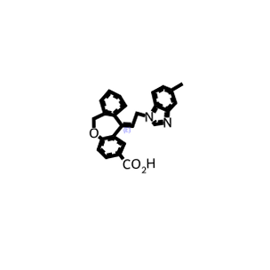 Cc1ccc2c(c1)ncn2C/C=C1\c2ccccc2COc2ccc(C(=O)O)cc21